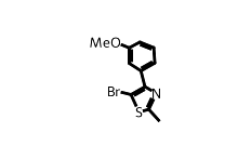 COc1cccc(-c2nc(C)sc2Br)c1